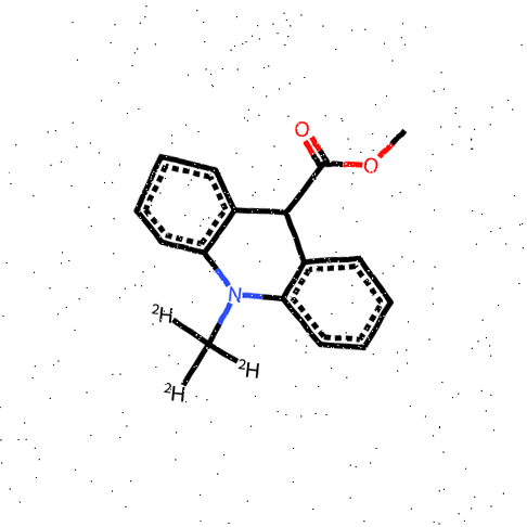 [2H]C([2H])([2H])N1c2ccccc2C(C(=O)OC)c2ccccc21